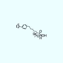 CS(=O)(=O)C(CCCCCc1ccc(-c2cccs2)cc1)C(=O)NO